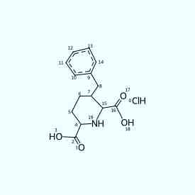 Cl.O=C(O)C1CCC(Cc2ccccc2)C(C(=O)O)N1